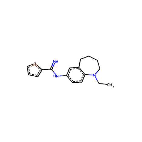 CCN1CCCCc2cc(NC(=N)c3cccs3)ccc21